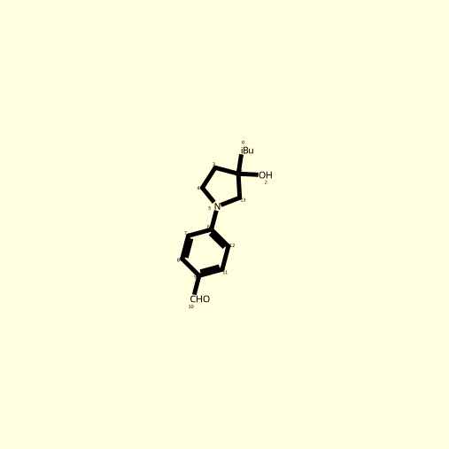 CCC(C)C1(O)CCN(c2ccc(C=O)cc2)C1